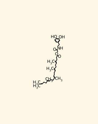 CC(C)=CCC/C(C)=C/CC/C(C)=C/CC/C=C(\C)CC/C=C(\C)CCC(=O)OCC(=O)NCCc1ccc(O)c(O)c1